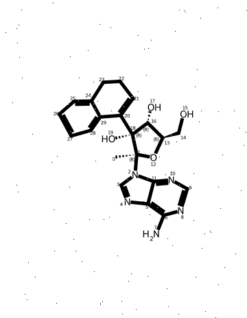 C[C@@]1(n2cnc3c(N)ncnc32)O[C@H](CO)[C@@H](O)[C@]1(O)C1=CCCc2ccccc21